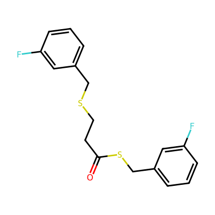 O=C(CCSCc1cccc(F)c1)SCc1cccc(F)c1